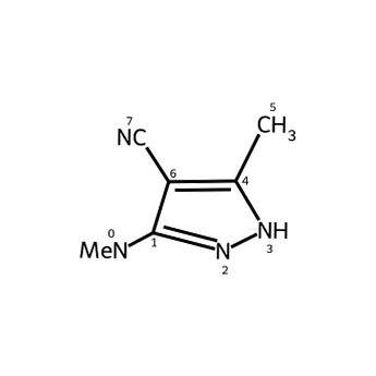 CNc1n[nH]c(C)c1C#N